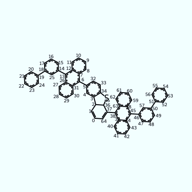 C1=CC2c3cc(-c4c5ccccc5c(-c5cccc(-c6ccccc6)c5)c5ccccc45)ccc3SC2C(c2c3ccccc3c(-c3cccc(-c4ccccc4)c3)c3ccccc23)=C1